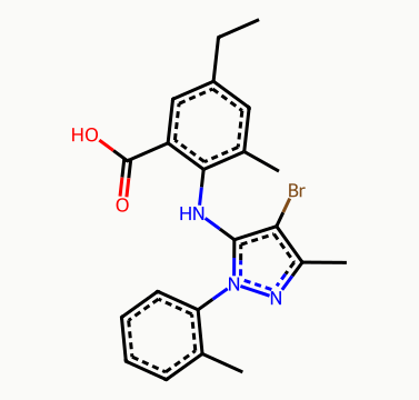 CCc1cc(C)c(Nc2c(Br)c(C)nn2-c2ccccc2C)c(C(=O)O)c1